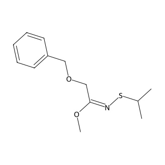 CO/C(COCc1ccccc1)=N/SC(C)C